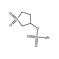 CCCS(=O)(=O)OC1CCS(=O)(=O)C1